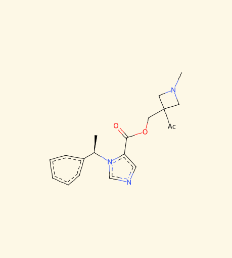 CC(=O)C1(COC(=O)c2cncn2[C@H](C)c2ccccc2)CN(C)C1